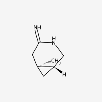 C[C@]12CC(=N)NC[C@@H]1C2